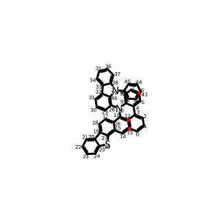 c1ccc(-c2ccccc2N(c2cccc3c2ccc2c4ccccc4sc32)c2cccc3c4ccccc4n(-c4ccccc4)c23)cc1